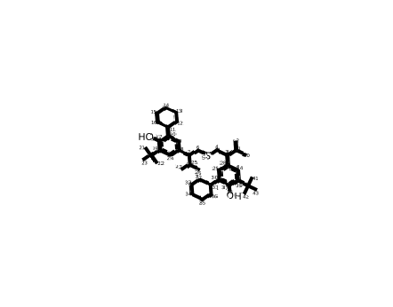 CC(C)C(CSCC(c1cc(C2CCCCC2)c(O)c(C(C)(C)C)c1)C(C)C)c1cc(C2CCCCC2)c(O)c(C(C)(C)C)c1